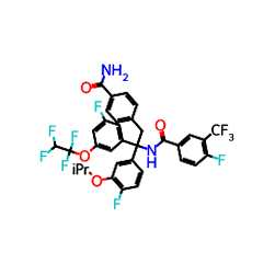 CC(C)Oc1cc(C(Cc2ccc(C(N)=O)cc2)(NC(=O)c2ccc(F)c(C(F)(F)F)c2)c2cc(F)cc(OC(F)(F)C(F)F)c2)ccc1F